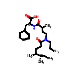 CCCN(CCC(C)C(=O)N[C@@H](Cc1ccccc1)C(=O)O)C(=O)CCC(C)[C@@H](C)CC